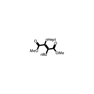 CCCCCCCC(C(=O)OC)=C(CCCC)C(=O)OC